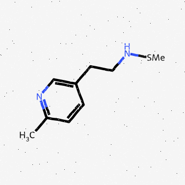 CSNCCc1ccc(C)nc1